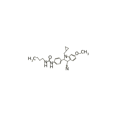 CCCCNC(=O)Nc1ccc(C2C(C#N)c3ccc(OCC)cc3N2CC2CC2)cc1